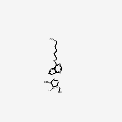 CCOC(=O)CCCCCNc1ncnc2c1ncn2[C@@H]1O[C@H](CO)[C@@H](O)[C@H]1O